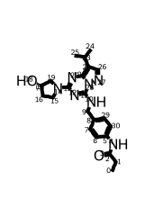 CCC(=O)Nc1ccc(CNc2nc(N3CC[C@H](O)C3)nc3c(C(C)C)cnn23)cc1